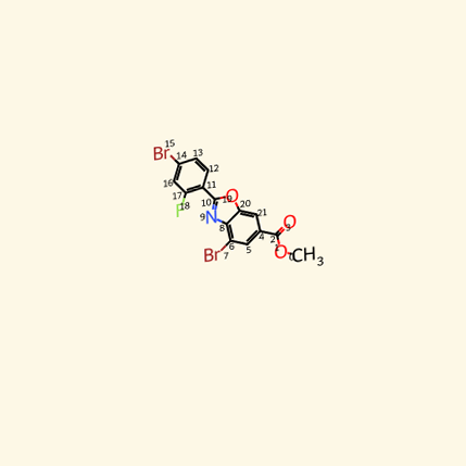 COC(=O)c1cc(Br)c2nc(-c3ccc(Br)cc3F)oc2c1